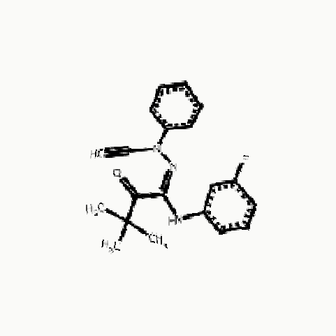 C#CN(N=C(Nc1cccc(F)c1)C(=O)C(C)(C)C)c1ccccc1